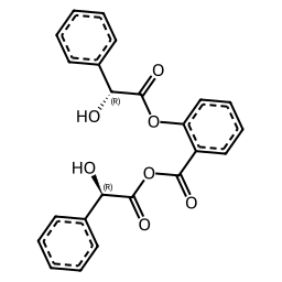 O=C(OC(=O)[C@H](O)c1ccccc1)c1ccccc1OC(=O)[C@H](O)c1ccccc1